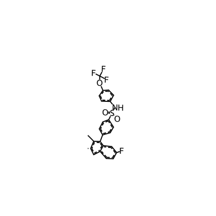 Cc1[c]cc2ccc(F)cc2c1-c1ccc(S(=O)(=O)Nc2ccc(OC(F)(F)F)cc2)cc1